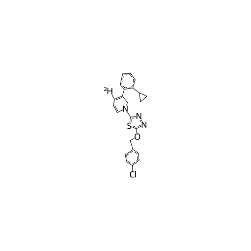 [2H]C1=C(c2ccccc2C2CC2)CN(c2nnc(OCc3ccc(Cl)cc3)s2)C=C1